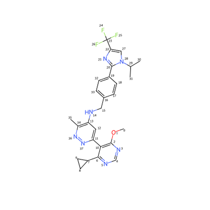 COc1ncnc(C2CC2)c1-c1cc(NCc2ccc(-c3nc(C(F)(F)F)cn3C(C)C)cc2)c(C)nn1